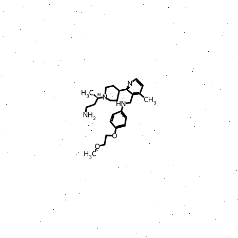 COCCOc1ccc(NCc2c(C)ccnc2C2CCN([C@H](C)CCN)CC2)cc1